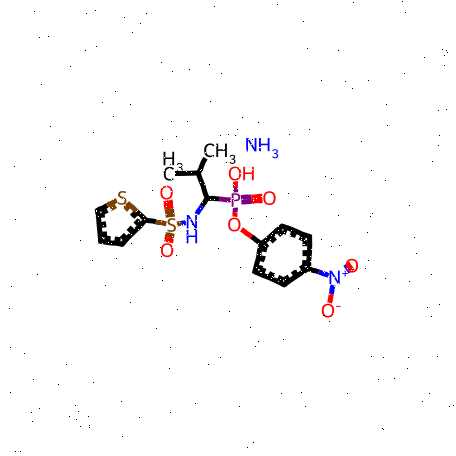 CC(C)C(NS(=O)(=O)c1cccs1)P(=O)(O)Oc1ccc([N+](=O)[O-])cc1.N